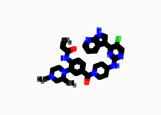 C=CC(=O)Nc1ccc(C(=O)N2CCC(Nc3ncc(Cl)c(-c4c[nH]c5ncccc45)n3)CC2)cc1N1CCN(C)CC1C